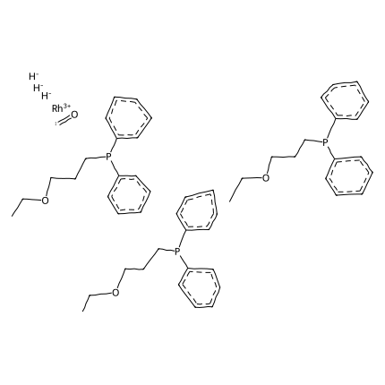 CCOCCCP(c1ccccc1)c1ccccc1.CCOCCCP(c1ccccc1)c1ccccc1.CCOCCCP(c1ccccc1)c1ccccc1.[C]=O.[H-].[H-].[H-].[Rh+3]